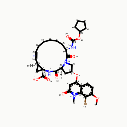 COc1ccc2c(O[C@@H]3C[C@H]4C(=O)N[C@]5(C(=O)O)C[C@H]5/C=C\CCCCC[C@H](NC(=O)OC5CCCC5)C(=O)N4C3)cc(=O)n(C)c2c1Br